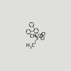 CCCCC1=Cc2c(ccc(-c3ccccc3)c2-c2ccccc2C)[CH]1[Zr]([Cl])[Cl]